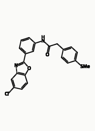 CSc1ccc(CC(=O)Nc2cccc(-c3nc4cc(Cl)ccc4o3)c2)cc1